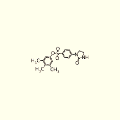 Cc1cc(OS(=O)(=O)c2ccc(N3CCNC3=O)cc2)cc(C)c1C